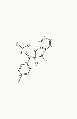 CC(Cl)Cl.CCC(Cc1ccccc1)(C(=O)c1ccc(F)cc1)N(C)C